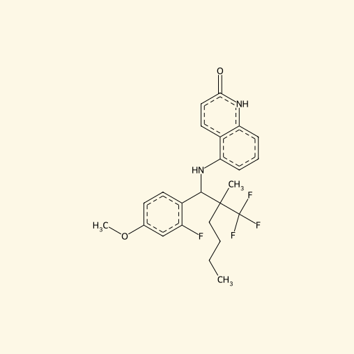 CCCCC(C)(C(Nc1cccc2[nH]c(=O)ccc12)c1ccc(OC)cc1F)C(F)(F)F